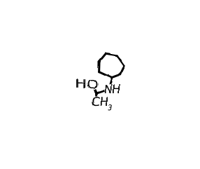 CC(O)NC1CCCCCC1